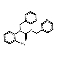 Nc1ccccc1N(Cc1ccccc1)C(=O)OCc1cccnc1